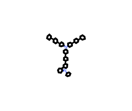 c1ccc(-c2ccc(-c3ccc(N(c4ccc(-c5ccc(-c6ccccc6)cc5)cc4)c4ccc(-c5ccc(-c6ccc7c(c6)c6ccccc6n7-c6ccccc6)cc5)cc4)cc3)cc2)cc1